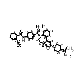 CCOc1ccccc1C(=O)Nc1ccc(C(=O)N2CCC(F)(F)C(=CC(=O)N3CCC(N(C)C)CC3)c3ccccc32)cc1.Cl